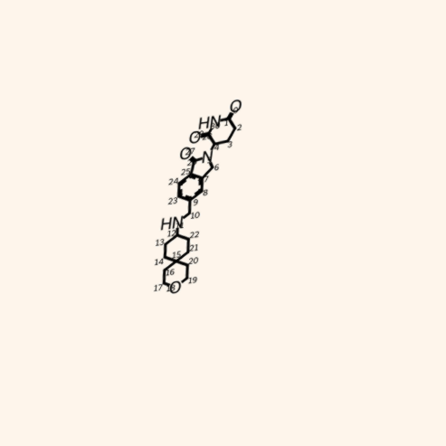 O=C1CCC(N2Cc3cc(CNC4CCC5(CCOCC5)CC4)ccc3C2=O)C(=O)N1